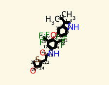 CC(C)c1c[nH]c2ccc(Oc3c(C(F)(F)F)cc(NC(=O)CC4=CC(=O)CS4)cc3C(F)(F)F)cc12